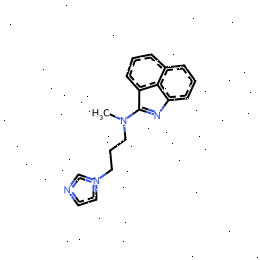 CN(CCCn1ccnc1)C1=Nc2cccc3cccc1c23